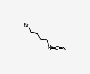 S=C=NCCCCBr